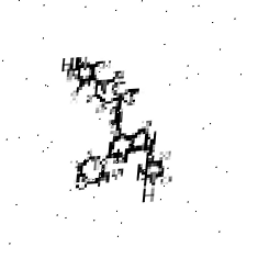 COC1(C#Cc2cc(N3CCOC[C@H]3C)nc3c2cnn3-c2cc[nH]n2)CCN(c2c(C)n[nH]c2C)CC1